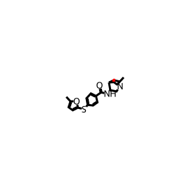 Cc1ccc(Sc2ccc(C(=O)NC3CN4CCC3CC4C)cc2)o1